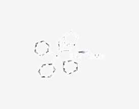 CO/C=C/C12CCC(CN(C(c3ccccc3)(c3ccccc3)c3ccccc3)C1C(C)(C)C)N2